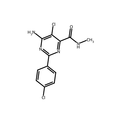 CNC(=O)c1nc(-c2ccc(Cl)cc2)nc(N)c1Cl